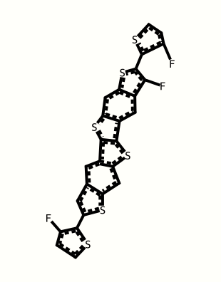 Fc1ccsc1-c1cc2cc3c(cc2s1)sc1c2cc4c(F)c(-c5sccc5F)sc4cc2sc31